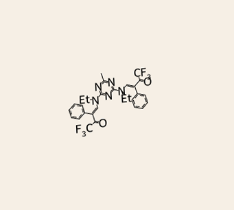 CCN(/C=C(/C(=O)C(F)(F)F)c1ccccc1)c1nc(C)nc(N(/C=C(/C(=O)C(F)(F)F)c2ccccc2)CC)n1